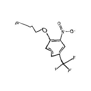 O=[N+]([O-])c1cc(C(F)(F)F)ccc1OCCBr